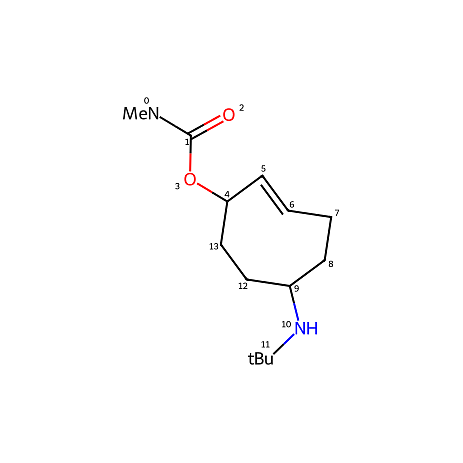 CNC(=O)OC1/C=C/CCC(NC(C)(C)C)CC1